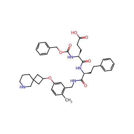 Cc1ccc(OC2CC3(CCCNC3)C2)cc1CNC(=O)[C@H](CCc1ccccc1)NC(=O)[C@H](CCC(=O)O)NC(=O)OCc1ccccc1